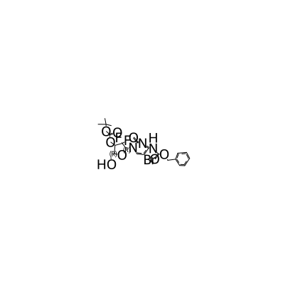 CC(C)(C)OC(=O)OC1[C@@H](CO)O[C@@H](n2cc(Br)c(NC(=O)OCc3ccccc3)nc2=O)C1(F)F